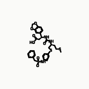 CSCC[C@@H](CSc1ccc(NS(=O)(=O)Cc2ccccc2)cc1)NC(=O)N[C@@H](CC(=O)O)c1ccc2c(c1)OCO2